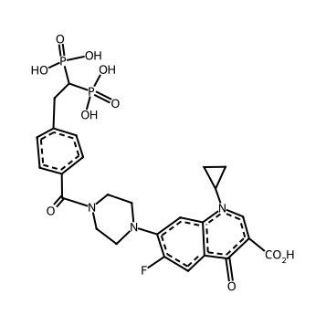 O=C(O)c1cn(C2CC2)c2cc(N3CCN(C(=O)c4ccc(CC(P(=O)(O)O)P(=O)(O)O)cc4)CC3)c(F)cc2c1=O